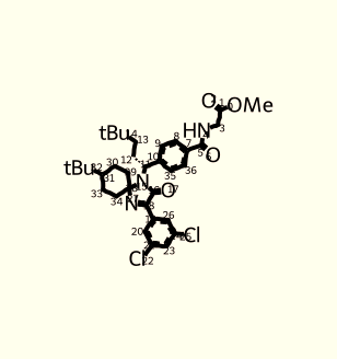 COC(=O)CNC(=O)c1ccc([C@@H](CCC(C)(C)C)N2C(=O)C(c3cc(Cl)cc(Cl)c3)=NC23CCC(C(C)(C)C)CC3)cc1